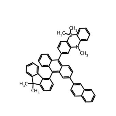 CN1c2ccccc2[Si](C)(C)c2ccc(-c3c4ccccc4c(-c4cccc5c4-c4ccccc4C5(C)C)c4cc(-c5ccc6ccccc6c5)ccc34)cc21